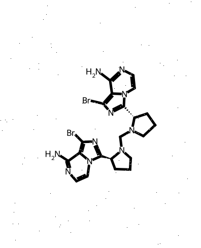 Nc1nccn2c([C@@H]3CCCN3CN3CCC[C@H]3c3nc(Br)c4c(N)nccn34)nc(Br)c12